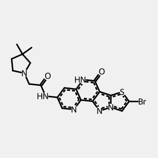 CC1(C)CCN(CC(=O)Nc2cnc3c(c2)[nH]c(=O)c2c3nn3cc(Br)sc23)C1